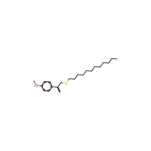 C=C(CSCCCCCCCCCCCC)c1ccc(OC)cc1